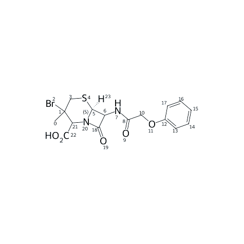 CC1(Br)CS[C@H]2C(NC(=O)COc3ccccc3)C(=O)N2C1C(=O)O